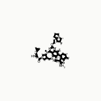 CN1c2nc(OCC[C@@]34CCCN3C[C@H](F)C4)nc3c(F)c(-c4ccc(F)c5sc(N)c(C#N)c45)c(Cl)c(c23)OCC2CN(C(=O)[C@@H]3N[C@H]3C3CC3)CC21